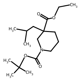 CCOC(=O)C1(CC(C)C)CCCN(C(=O)OC(C)(C)C)C1